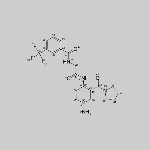 N[C@@H]1CC[C@@H](NC(=O)CNC(=O)c2cccc(C(F)(F)F)c2)[C@H](C(=O)N2CCCC2)C1